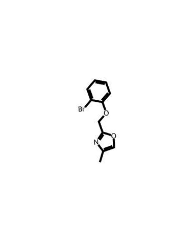 Cc1coc(COc2ccccc2Br)n1